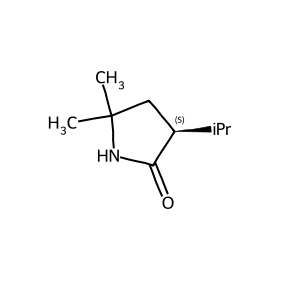 CC(C)[C@@H]1CC(C)(C)NC1=O